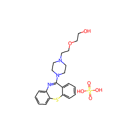 O=S(=O)(O)O.OCCOCCN1CCN(C2=Nc3ccccc3Sc3ccccc32)CC1